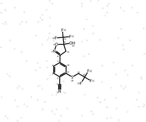 N#Cc1ccc(C2=NOC(O)(C(F)(F)F)C2)cc1SCC(F)(F)F